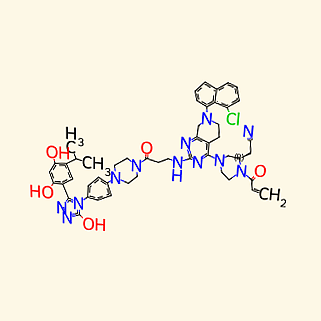 C=CC(=O)N1CCN(c2nc(NCCC(=O)N3CCN(c4ccc(-n5c(O)nnc5-c5cc(C(C)C)c(O)cc5O)cc4)CC3)nc3c2CCN(c2cccc4cccc(Cl)c24)C3)C[C@H]1CC#N